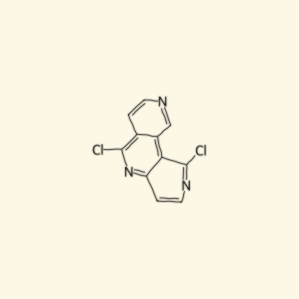 Clc1nc2ccnc(Cl)c2c2cnccc12